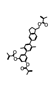 C=C(C)C(=O)OCC1CCc2cc(-c3cc(C)c(-c4cc(OC(=O)C(=C)C)cc(OC(=O)C(=C)C)c4)cc3C)ccc21